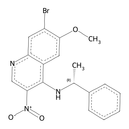 COc1cc2c(N[C@H](C)c3ccccc3)c([N+](=O)[O-])cnc2cc1Br